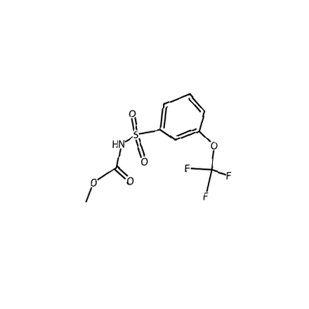 COC(=O)NS(=O)(=O)c1cccc(OC(F)(F)F)c1